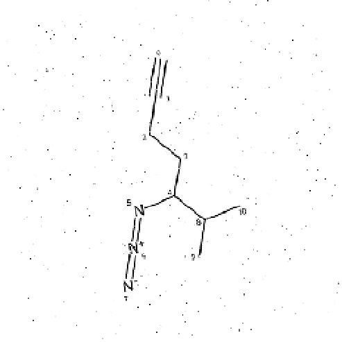 C#CCCC(N=[N+]=[N-])C(C)C